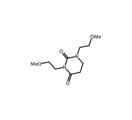 COCCN1CCC(=O)N(CCOC)C1=O